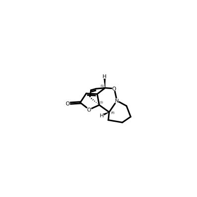 O=C1C=C2[C@@H]3C=CC[C@@]2(O1)[C@H]1CCCCN1O3